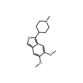 COc1cc2coc(C3CCN(C)CC3)c2cc1OC